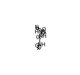 CCOC(=O)C(Cc1cccnc1)NC(=O)CNC(=O)CCCCNC(=O)OC(C)(C)C